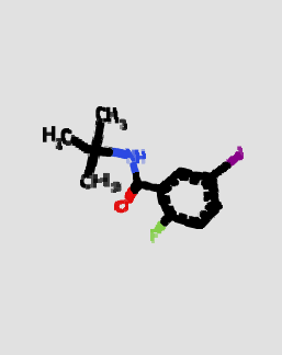 CC(C)(C)NC(=O)c1cc(I)ccc1F